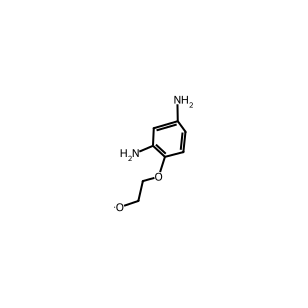 Nc1ccc(OCC[O])c(N)c1